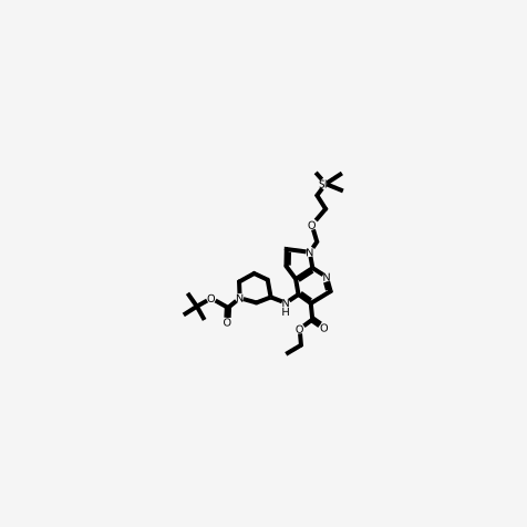 CCOC(=O)c1cnc2c(ccn2COCC[Si](C)(C)C)c1NC1CCCN(C(=O)OC(C)(C)C)C1